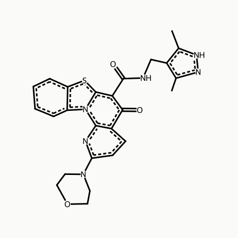 Cc1n[nH]c(C)c1CNC(=O)c1c(=O)c2ccc(N3CCOCC3)nc2n2c1sc1ccccc12